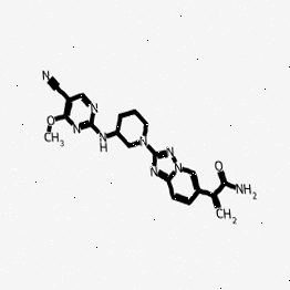 C=C(C(N)=O)c1ccc2nc(N3CCCC(Nc4ncc(C#N)c(OC)n4)C3)nn2c1